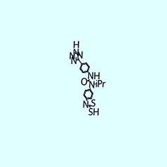 CC(C)N(C(=O)Nc1ccc(-c2nn[nH]n2)cc1)c1ccc2nc(S)sc2c1